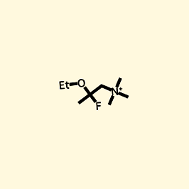 CCOC(C)(F)C[N+](C)(C)C